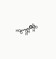 O=C(O)CCCC(O)CNc1ccc2c(c1)NC(=O)CS2